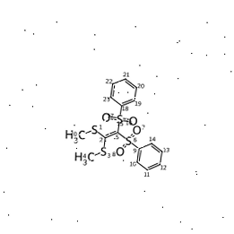 CSC(SC)=C(S(=O)(=O)c1ccccc1)S(=O)(=O)c1ccccc1